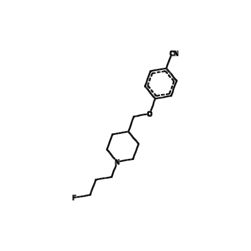 N#Cc1ccc(OCC2CCN(CCCF)CC2)cc1